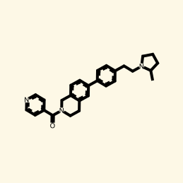 CC1CCCN1CCc1ccc(-c2ccc3c(c2)CCN(C(=O)c2ccncc2)C3)cc1